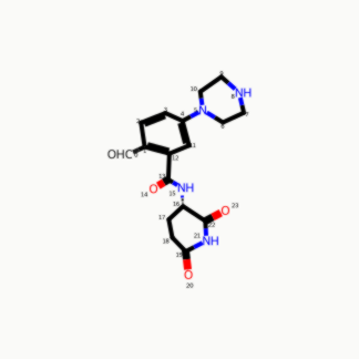 O=Cc1ccc(N2CCNCC2)cc1C(=O)N[C@H]1CCC(=O)NC1=O